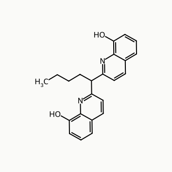 CCCCC(c1ccc2cccc(O)c2n1)c1ccc2cccc(O)c2n1